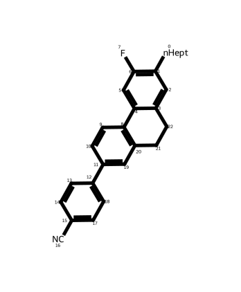 CCCCCCCc1cc2c(cc1F)-c1ccc(-c3ccc(C#N)cc3)cc1CC2